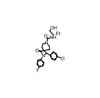 CC[C@@H](CO)NC(=O)N1CCC2(CC1)C(=O)N(c1ccc(F)cc1)C2c1ccc(Cl)cc1